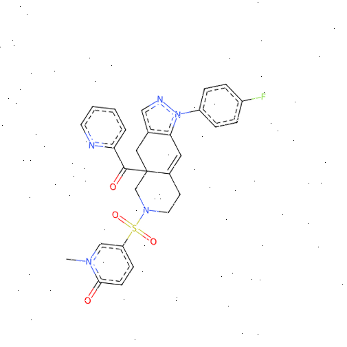 Cn1cc(S(=O)(=O)N2CCC3=Cc4c(cnn4-c4ccc(F)cc4)CC3(C(=O)c3ccccn3)C2)ccc1=O